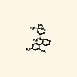 Cc1cc(C)c(-c2ccncc2NC(=O)OC(C)(C)C)c(C)c1